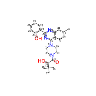 Cc1ccc2c(N3CCN(C(=O)C(O)C(C)(C)C)CC3)nc(-c3ccccc3O)nc2c1